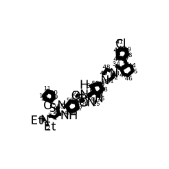 CCN(CC)CCC(CSc1ccccc1)Nc1ccc(S(=O)(=O)Nc2ncnc3cc(N4CCN(CC5=C(c6ccc(Cl)cc6)CCCC5)CC4)ccc23)cc1[N+](=O)[O-]